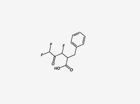 O=C(C(F)F)C(F)C(Cc1ccccc1)C(=O)O